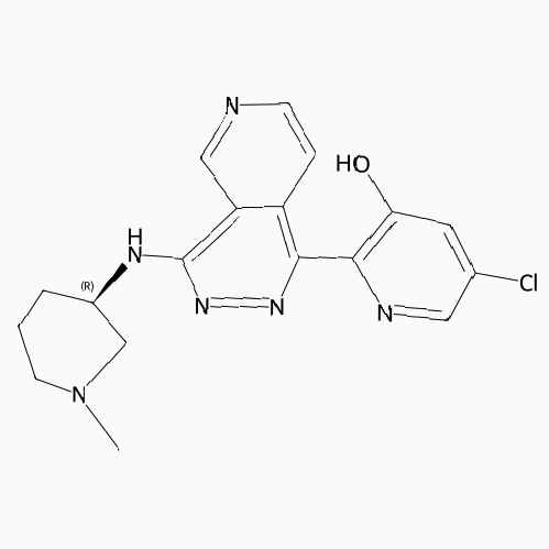 CN1CCC[C@@H](Nc2nnc(-c3ncc(Cl)cc3O)c3ccncc23)C1